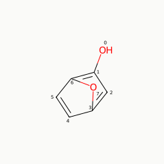 Oc1cc2ccc1o2